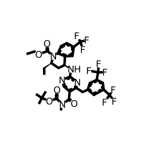 CCOC(=O)N1c2ccc(C(F)(F)F)cc2[C@@H](Nc2ncc(C(=O)N(C)C(=O)OC(C)(C)C)c(Cc3cc(C(F)(F)F)cc(C(F)(F)F)c3)n2)C[C@H]1CC